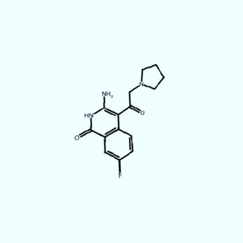 Nc1[nH]c(=O)c2cc(F)ccc2c1C(=O)CN1CCCC1